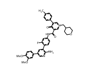 COc1ccc(-c2cnc(N)c(-c3ccc(NC(=O)c4cn(CC5CCOCC5)cc(-c5ccc(C)cc5)c4=O)cc3F)c2)cc1OC